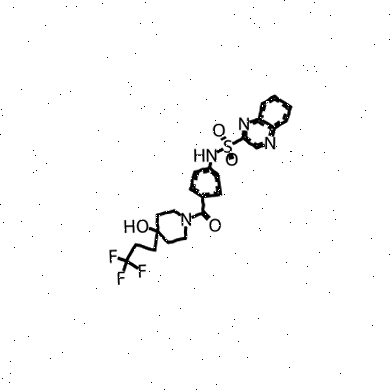 O=C(c1ccc(NS(=O)(=O)c2cnc3ccccc3n2)cc1)N1CCC(O)(CCC(F)(F)F)CC1